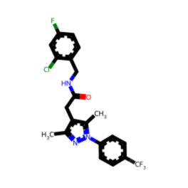 Cc1nn(-c2ccc(C(F)(F)F)cc2)c(C)c1CC(=O)NCc1ccc(F)cc1Cl